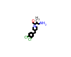 CC(CN)C(C=O)N1CCC(Cc2ccc(Cl)c(Cl)c2)CC1